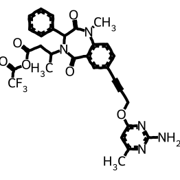 Cc1cc(OCC#Cc2ccc3c(c2)C(=O)N(C(C)CC(=O)OC(=O)C(F)(F)F)C(c2ccccc2)C(=O)N3C)nc(N)n1